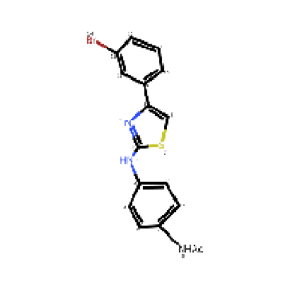 CC(=O)Nc1ccc(Nc2nc(-c3cccc(Br)c3)cs2)cc1